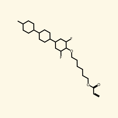 C=CC(=O)OCCCCCCOC1C(F)CC(C2CCC(C3CCC(C)CC3)CC2)CC1F